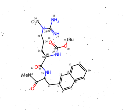 CNC(=O)C(Cc1ccc2ccccc2c1)NC(=O)[C@@H](CCCN(C(=N)N)[N+](=O)[O-])NC(=O)OC(C)(C)C